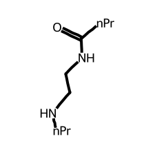 CCCNCCNC(=O)CCC